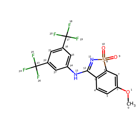 COc1ccc2c(c1)S(=O)(=O)N=C2Nc1cc(C(F)(F)F)cc(C(F)(F)F)c1